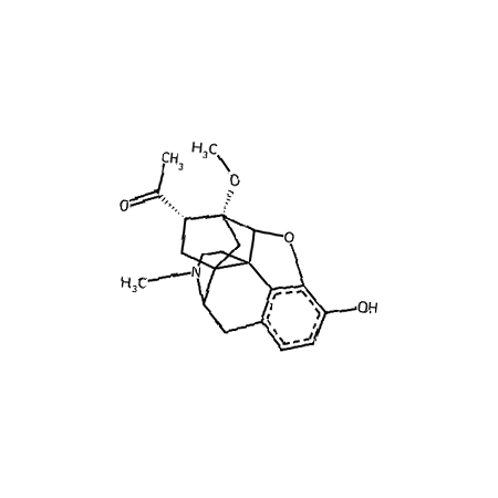 CO[C@]12CC3(C[C@@H]1C(C)=O)C1Cc4ccc(O)c5c4C3(CCN1C)C2O5